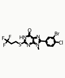 Cn1c(-c2ccc(Cl)c(Br)c2)nc2c(=O)[nH]c(SCCC(F)(F)F)nc21